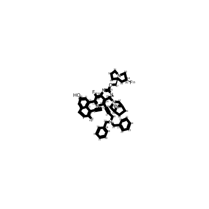 C#Cc1c(F)ccc2cc(O)cc(-c3nc(C#CCN(Cc4ccccc4)Cc4ccccc4)c4c(N5CC6CCC(C5)N6)nc(OC[C@@]56CCCN5C[C@H](F)C6)nc4c3F)c12